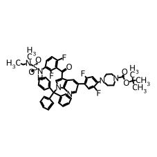 CCN(C)S(=O)(=O)Nc1ccc(F)c(C(=O)c2cn(C(c3ccccc3)(c3ccccc3)c3ccccc3)c3ncc(-c4cc(F)c(N5CCN(C(=O)OC(C)(C)C)CC5)cc4F)cc23)c1F